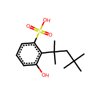 CC(C)(C)CC(C)(C)c1c(O)cccc1S(=O)(=O)O